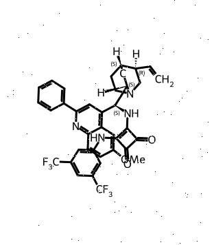 C=C[C@H]1CN2CC[C@H]1C[C@H]2[C@@H](Nc1c(Nc2cc(C(F)(F)F)cc(C(F)(F)F)c2)c(=O)c1=O)c1cc(-c2ccccc2)nc2ccc(OC)cc12